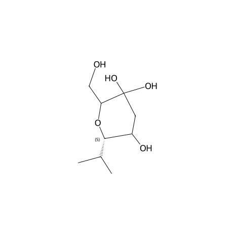 CC(C)[C@@H]1OC(CO)C(O)(O)CC1O